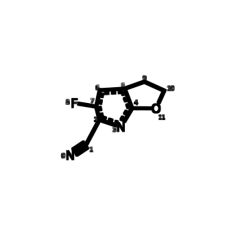 N#Cc1nc2c(cc1F)CCO2